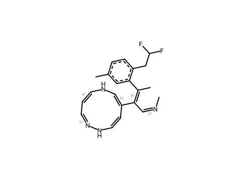 C\N=C/C(C1=C/N/C=C\C=N/NC=C\1)=C(\C)c1cc(C)ccc1CC(F)F